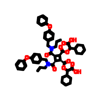 CCCN(Cc1ccc(Oc2ccccc2)cc1)C(=O)[C@H]1[C@@H](C(=O)OC(C(=O)O)C2CCCCC2)[C@H](C(=O)OC(C(=O)O)C2CCCCC2)[C@@H]1C(=O)N(CCC)Cc1ccc(Oc2ccccc2)cc1